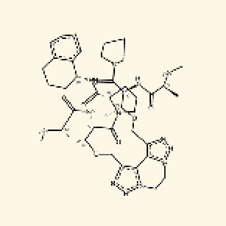 CN[C@@H](C)C(=O)N[C@H](C(=O)N1CCCC1)[C@@H](C)OCc1nnn2c1-c1c(CO[C@H](C)[C@H](NC(=O)[C@H](C)NC)C(=O)N3CCC[C@H]3C(=O)N[C@@H]3CCCc4ccccc43)nnn1CC2